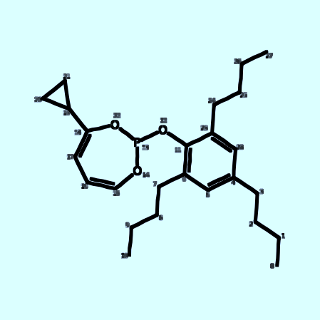 CCCCc1cc(CCCC)c(Op2occcc(C3CC3)o2)c(CCCC)c1